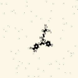 C=C(C)C(=O)OCCNC(=O)OC(COc1ccc(C(C(C)C)C(C)C)cc1)CSc1ccc(Cl)cc1